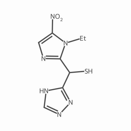 CCn1c([N+](=O)[O-])cnc1C(S)c1nnc[nH]1